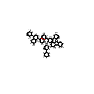 c1ccc(-c2ccc(N(c3ccc(-c4ccc(-c5ccccc5)c5ccccc45)cc3)c3ccc(-c4ccccc4-n4c5ccccc5c5ccccc54)cc3-c3ccccc3)cc2)cc1